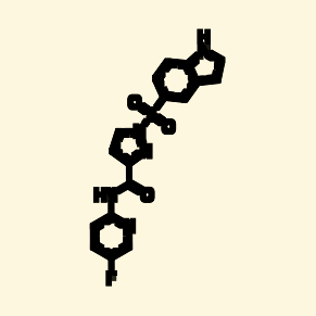 O=C(Nc1ccc(F)cn1)c1ccn(S(=O)(=O)c2ccc3[nH]ccc3c2)n1